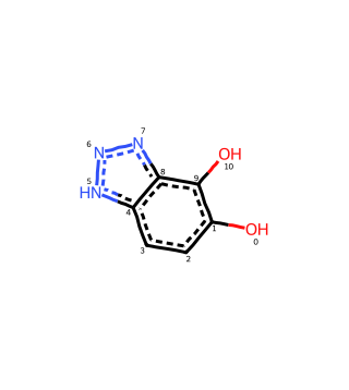 Oc1ccc2[nH]nnc2c1O